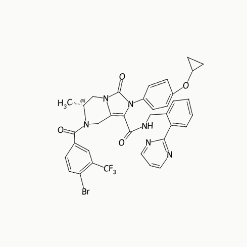 C[C@@H]1Cn2c(c(C(=O)NCc3ccccc3-c3ncccn3)n(-c3ccc(OC4CC4)cc3)c2=O)CN1C(=O)c1ccc(Br)c(C(F)(F)F)c1